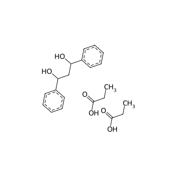 CCC(=O)O.CCC(=O)O.OC(CC(O)c1ccccc1)c1ccccc1